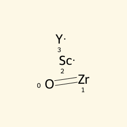 [O]=[Zr].[Sc].[Y]